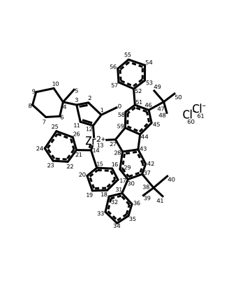 CC1C=C(C2(C)CCCCC2)C=[C]1[Zr+2](=[C](c1ccccc1)c1ccccc1)[CH]1c2cc(-c3ccccc3)c(C(C)(C)C)cc2-c2cc(C(C)(C)C)c(-c3ccccc3)cc21.[Cl-].[Cl-]